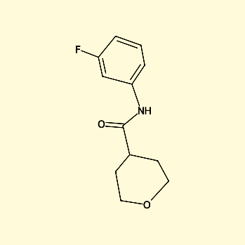 O=C(Nc1cccc(F)c1)C1CCOCC1